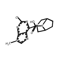 Cn1cnc2c(N3CC4CCC(C3)N4C(=O)O)nc(Cl)nc21